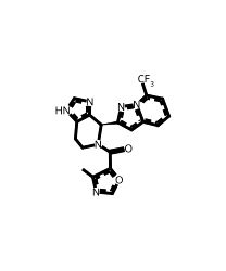 Cc1ncoc1C(=O)N1CCc2[nH]cnc2[C@H]1c1cc2cccc(C(F)(F)F)n2n1